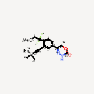 COCC(F)(F)c1ccc(C2=NNC(=O)O[C@H]2C)cc1C#C[Si](C)(C)C(C)(C)C